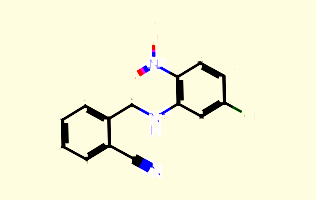 N#Cc1ccccc1CNc1cc(Cl)ccc1[N+](=O)[O-]